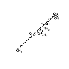 CCCCCCCCCCCC(=O)OC[C@H](CSC[C@H](N)C(=O)NCCOCCP(=O)(O)O)OC(C)=O